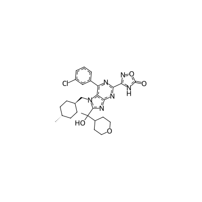 CC(O)(c1nc2nc(-c3noc(=O)[nH]3)nc(-c3cccc(Cl)c3)c2n1C[C@H]1CC[C@H](C)CC1)C1CCOCC1